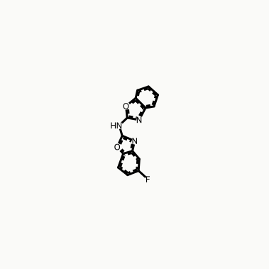 Fc1ccc2oc(Nc3nc4ccccc4o3)nc2c1